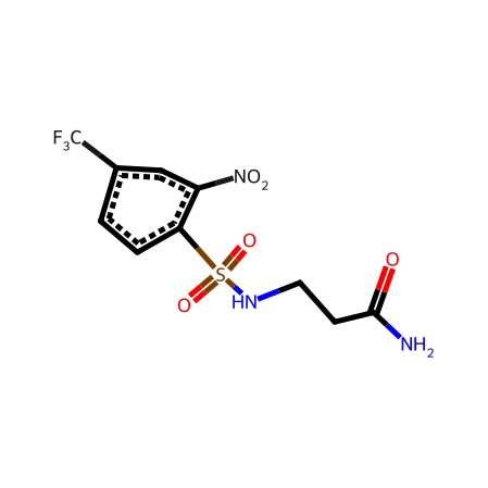 NC(=O)CCNS(=O)(=O)c1ccc(C(F)(F)F)cc1[N+](=O)[O-]